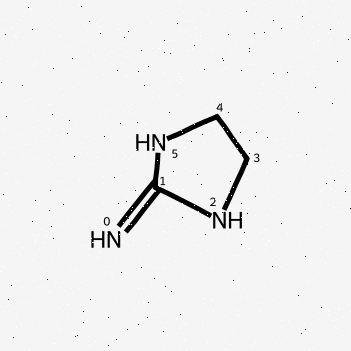 N=C1N[CH]CN1